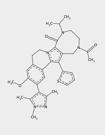 COc1cc2c(cc1-c1c(C)nn(C)c1C)-c1c(-c3cccs3)c3c(n1CC2)C(=O)N(C(C)C)CCN(C(C)=O)C3